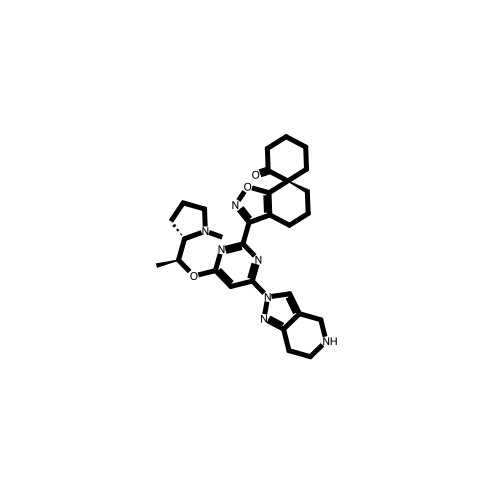 C[C@H](Oc1cc(-n2cc3c(n2)CCNC3)nc(-c2noc3c2CCC[C@@]32CCCCC2=O)n1)[C@@H]1CCCN1C